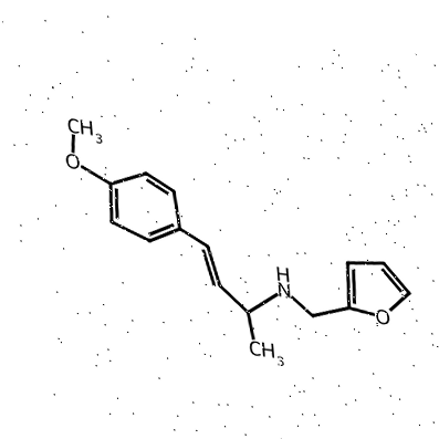 COc1ccc(/C=C/C(C)NCc2ccco2)cc1